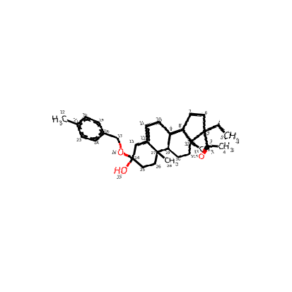 CCC1(C(C)=O)CCC2C3CC=C4CC(O)(OCc5ccc(C)cc5)CCC4(C)C3CCC21C